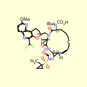 CC[C@H](C)N(C(=O)O)[C@H]1CCCCC/C=C\[C@@H]2C[C@@]2(C(=O)NS(=O)(=O)C2(C)CC2)NC(=O)[C@@H]2C[C@]3(CCc4c(c(C(F)F)nc5ccc(OC)nc45)O3)CN2C1=O